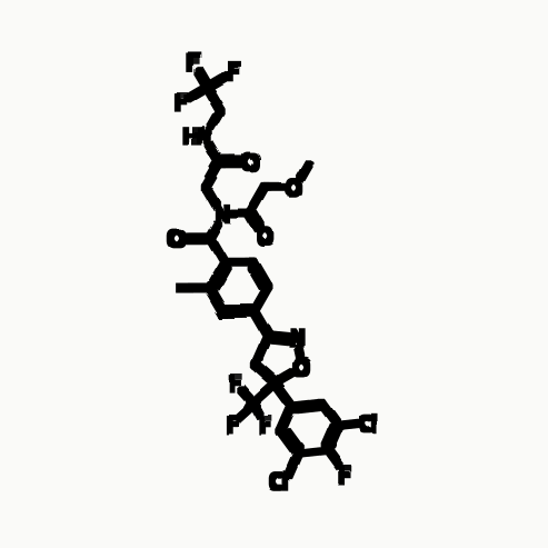 COCC(=O)N(CC(=O)NCC(F)(F)F)C(=O)c1ccc(C2=NOC(c3cc(Cl)c(F)c(Cl)c3)(C(F)(F)F)C2)cc1C